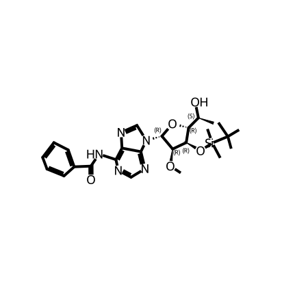 CO[C@@H]1[C@H](O[Si](C)(C)C(C)(C)C)[C@@H]([C@H](C)O)O[C@H]1n1cnc2c(NC(=O)c3ccccc3)ncnc21